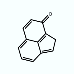 O=C1C=Cc2cccc3c2=C1CC=3